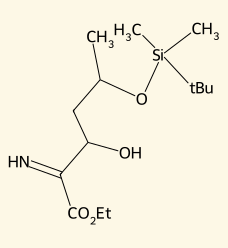 CCOC(=O)C(=N)C(O)CC(C)O[Si](C)(C)C(C)(C)C